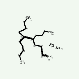 N.N.NCCCC(CCCN)=C(CCCN)CCCN